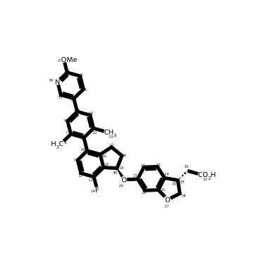 COc1ccc(-c2cc(C)c(-c3ccc(F)c4c3CC[C@H]4Oc3ccc4c(c3)OC[C@H]4CC(=O)O)c(C)c2)cn1